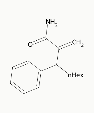 C=C(C(N)=O)C(CCCCCC)c1ccccc1